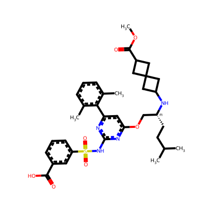 COC(=O)C1CC2(CC(N[C@H](CCC(C)C)COc3cc(-c4c(C)cccc4C)nc(NS(=O)(=O)c4cccc(C(=O)O)c4)n3)C2)C1